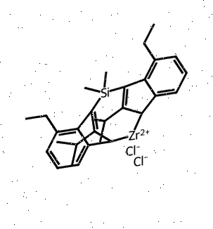 CCc1cccc2c1C1=C(C(C)C)[CH]2[Zr+2][CH]2C(C(C)C)=C(c3c(CC)cccc32)[Si]1(C)C.[Cl-].[Cl-]